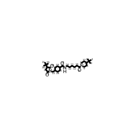 CC(C)(C)C1CCN(C(=O)CCCCCNC(=O)C2CCC(CN3C(=O)CC(C(C)(C)C)C3=O)CC2)CC1